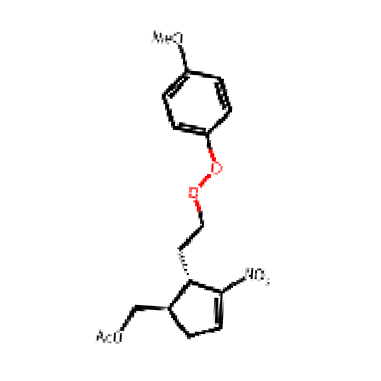 COc1ccc(OOCC[C@@H]2C([N+](=O)[O-])=CC[C@H]2COC(C)=O)cc1